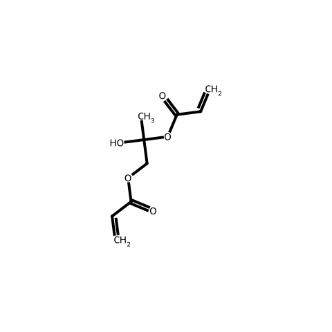 C=CC(=O)OCC(C)(O)OC(=O)C=C